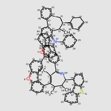 CC1=C(c2cccc3oc4ccc(-c5ccc6c(c5)c5ccc7c(c5n6-c5ccccc5)C(C)[C@H](C5=CC=CCC5)Cc5ccccc5-7)cc4c23)C(C)C(C)C(c2cccc3sc4ccccc4c23)N=C1c1ccc2c(c1)oc1ccccc12